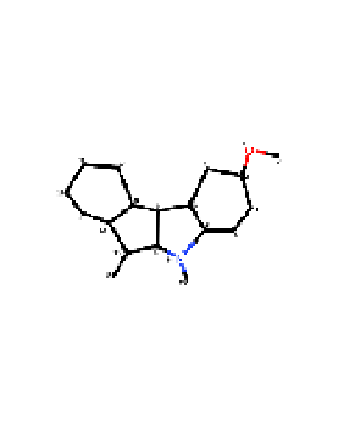 COC1CCC2C(C1)C1C3CCCCC3C(C)C1N2C